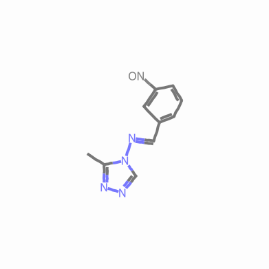 Cc1nncn1N=Cc1cccc(N=O)c1